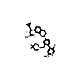 COc1cc(-c2ccc([C@@H]3CCc4ccc([C@H](C5CC5)[C@H](C)C(=O)O)cc4O3)cc2CN2CCC(C)(C)CC2)c(F)cn1